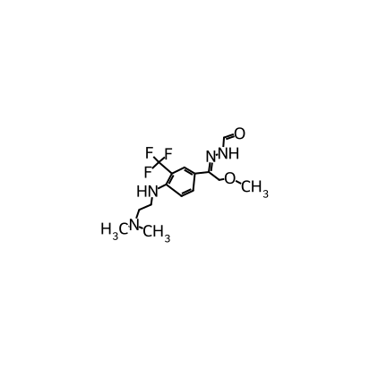 COC/C(=N\NC=O)c1ccc(NCCN(C)C)c(C(F)(F)F)c1